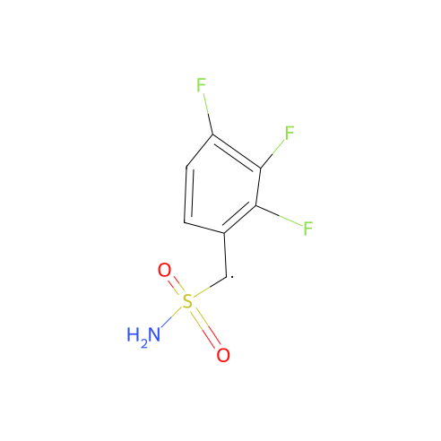 NS(=O)(=O)[CH]c1ccc(F)c(F)c1F